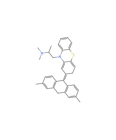 Cc1ccc2c(c1)Cc1cc(C)ccc1C2=C1C=C2C(=CC1)Sc1ccccc1N2CC(C)N(C)C